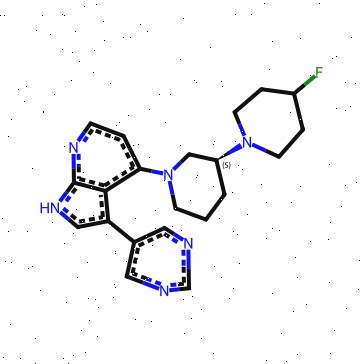 FC1CCN([C@H]2CCCN(c3ccnc4[nH]cc(-c5cncnc5)c34)C2)CC1